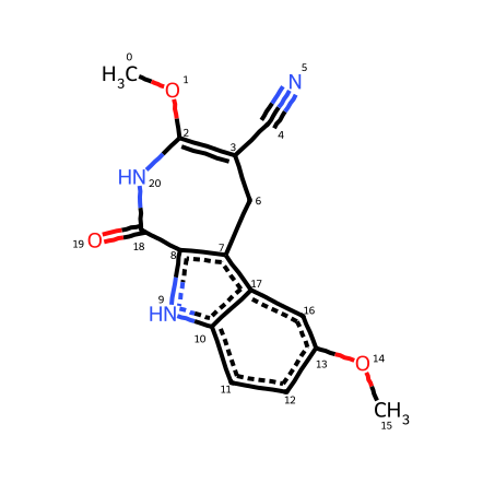 COC1=C(C#N)Cc2c([nH]c3ccc(OC)cc23)C(=O)N1